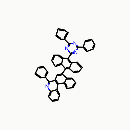 c1ccc(-c2nc(-c3ccccc3)nc(-c3c4ccccc4c(-c4cc5c(-c6ccccc6)nc6ccccc6c5c5ccccc45)c4ccccc34)n2)cc1